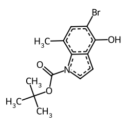 Cc1cc(Br)c(O)c2ccn(C(=O)OC(C)(C)C)c12